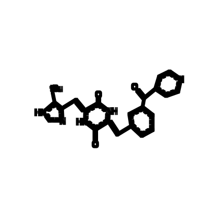 CC(C)(C)c1[nH]cnc1/C=c1\[nH]c(=O)/c(=C/c2cccc(C(=O)c3ccncc3)c2)[nH]c1=O